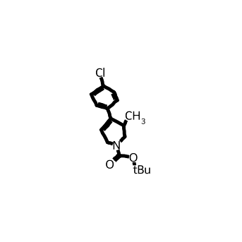 CC1CN(C(=O)OC(C)(C)C)CC=C1c1ccc(Cl)cc1